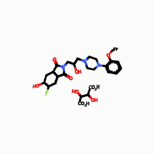 CC(C)Oc1ccccc1N1CCN(CC(O)CN2C(=O)C3CC(O)C(F)CC3C2=O)CC1.O=C(O)C(O)C(O)C(=O)O